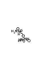 CC(C)NC(=O)C(NCC1CCCCC1)c1ccc(/C=C/C(=O)Nc2ccccc2N)cc1